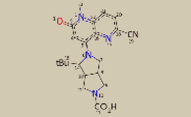 Cn1c(=O)cc(N2CC3CN(C(=O)O)CC3C2C(C)(C)C)c2nc(C#N)ccc21